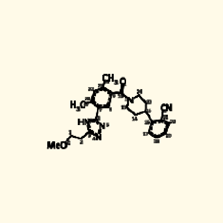 COCCc1nnc(-c2cc(C(=O)N3CCC(c4ccccc4C#N)CC3)c(C)cc2C)[nH]1